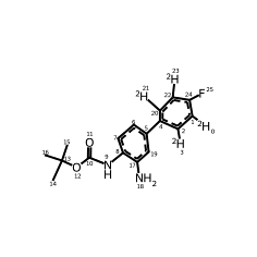 [2H]c1c([2H])c(-c2ccc(NC(=O)OC(C)(C)C)c(N)c2)c([2H])c([2H])c1F